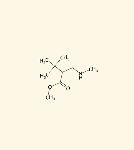 CNCC(C(=O)OC)C(C)(C)C